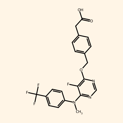 CN(c1ccc(C(F)(F)F)cc1)c1ncnc(OCc2ccc(CC(=O)O)cc2)c1F